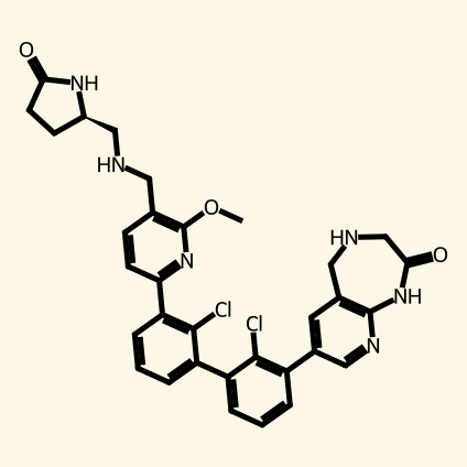 COc1nc(-c2cccc(-c3cccc(-c4cnc5c(c4)CNCC(=O)N5)c3Cl)c2Cl)ccc1CNC[C@H]1CCC(=O)N1